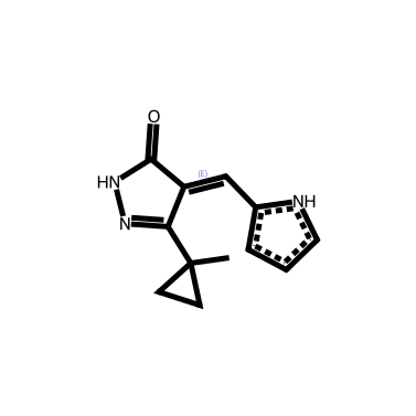 CC1(C2=NNC(=O)/C2=C/c2ccc[nH]2)CC1